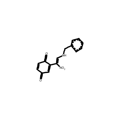 O=C1C=CC(=O)C(/C(=C/NCc2ccccc2)[N+](=O)[O-])=C1